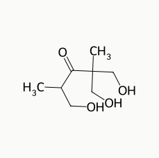 CC(CO)C(=O)C(C)(CO)CO